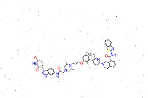 Cc1c(OCCCN2C(C)CN(CC(=O)Nc3ccc4c(C5CCC(=O)NC5=O)nn(C)c4c3)CC2C)cccc1-c1ccc(N2CCc3cccc(C(=O)Nc4nc5ccccc5s4)c3C2)nc1C(=O)O